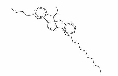 CCCCCCCCCCCCN1C=CN(CCCCCCC)C1(Cc1ccccc1)C(CC)c1ccccc1